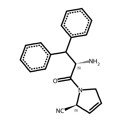 N#C[C@@H]1C=CCN1C(=O)[C@@H](N)C(c1ccccc1)c1ccccc1